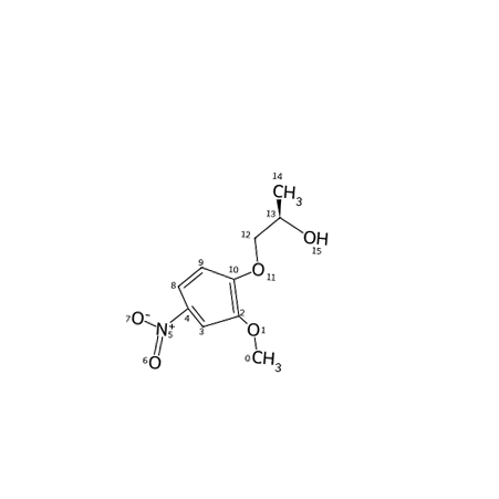 COc1cc([N+](=O)[O-])ccc1OC[C@@H](C)O